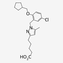 Cc1cc(CCCCC(=O)O)nn1Cc1cc(Cl)ccc1OCC1CCCC1